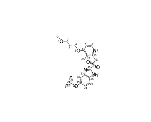 COCCCOc1ccnc(CS(=O)(=O)c2nc3cc(OC(F)F)ccc3[nH]2)c1C